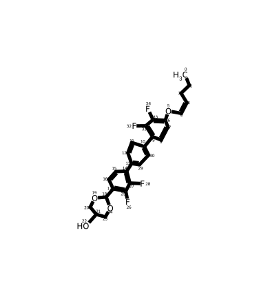 CCC/C=C\Oc1ccc(-c2ccc(-c3ccc(C4OCC(O)CO4)c(F)c3F)cc2)c(F)c1F